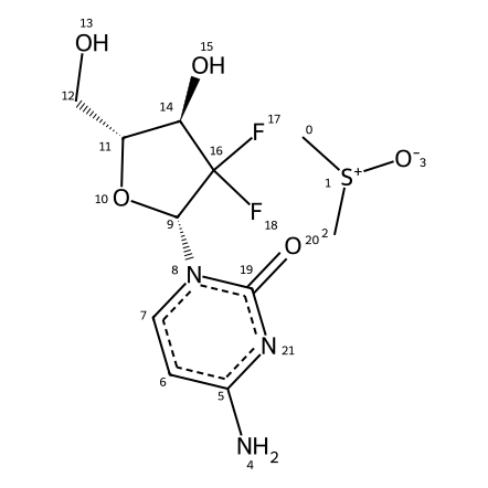 C[S+](C)[O-].Nc1ccn([C@@H]2O[C@H](CO)[C@@H](O)C2(F)F)c(=O)n1